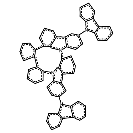 c1ccc2c(c1)c1ccccc1n1c3ccc(-n4c5ccccc5c5ccccc54)cc3c3cccc(c31)n1c3ccc(-n4c5ccccc5c5ccccc54)cc3c3cccc2c31